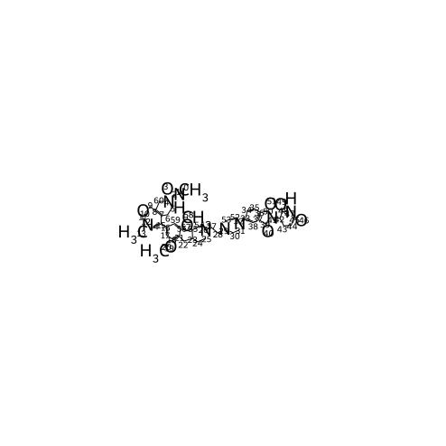 CNC(=O)N1CCC2=C(COCN(C)/C=C\2c2cc(OC)c(CC3CCN(CCN4CCN(c5ccc6c(c5)C(=O)N(C5CCC(=O)NC5=O)C6=O)CC4)CC3)c(OC)c2)C1